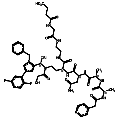 C[C@H](NC(=O)Cc1ccncc1)C(=O)N[C@H](C)C(=O)N[C@@H](CC(N)=O)C(=O)N[C@@H](CCN(C(=O)CO)[C@@H](c1cc(-c2cc(F)ccc2F)cn1Cc1ccccc1)C(C)(C)C)C(=O)NCCNC(=O)CNC(=O)CCC(=O)O